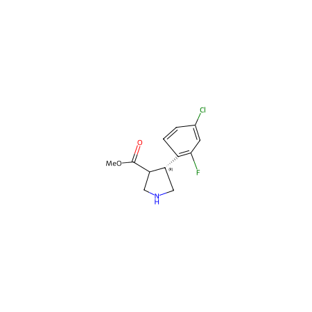 COC(=O)C1CNC[C@H]1c1ccc(Cl)cc1F